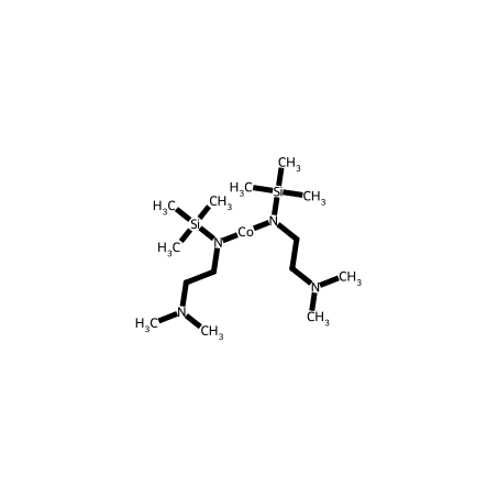 CN(C)CC[N]([Co][N](CCN(C)C)[Si](C)(C)C)[Si](C)(C)C